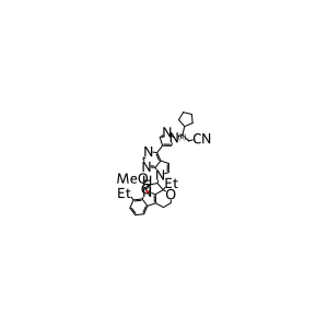 CCc1cccc2c3c([nH]c12)C(CC)(C(C(=O)OC)n1ccc2c(-c4cnn([C@H](CC#N)C5CCCC5)c4)ncnc21)OCC3